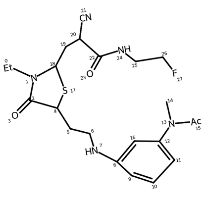 CCN1C(=O)C(CCNc2cccc(N(C)C(C)=O)c2)SC1CC(C#N)C(=O)NCCF